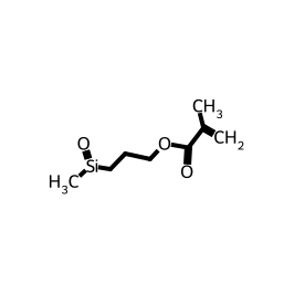 C=C(C)C(=O)OCCC[Si](C)=O